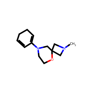 CN1CC2(C1)CN(C1=CCCC=C1)CCO2